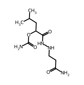 CC(C)CC(OC(N)=O)C(=O)NNCCC(N)=O